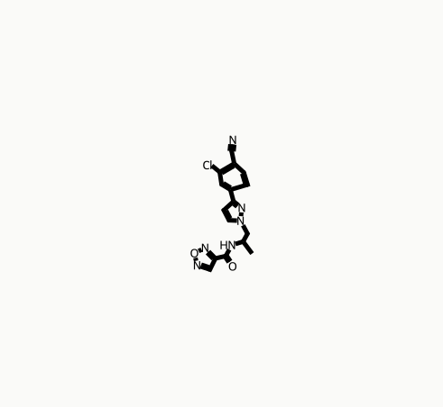 CC(Cn1ccc(-c2ccc(C#N)c(Cl)c2)n1)NC(=O)c1cnon1